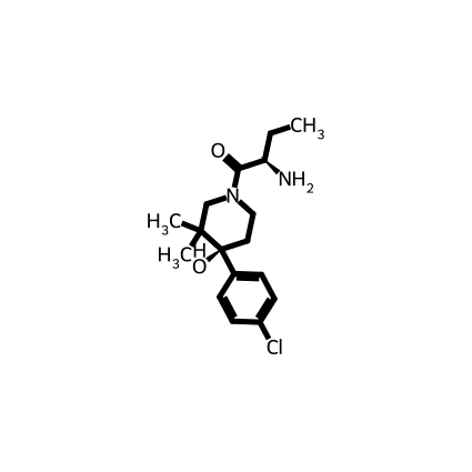 CC[C@@H](N)C(=O)N1CC[C@](O)(c2ccc(Cl)cc2)C(C)(C)C1